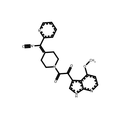 [C-]#[N+]C(=C1CCN(C(=O)C(=O)c2c[nH]c3nccc(OC)c23)CC1)c1ccccn1